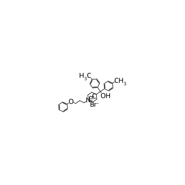 Cc1ccc(C(O)(c2ccc(C)cc2)C23CC[N+](CCCOc4ccccc4)(CC2)CC3)cc1.[Br-]